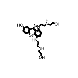 OCCNCCNc1ccc2c3c(nn2CCNCCO)-c2cc(O)ccc2[Se]c13